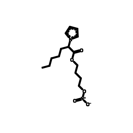 CCCCCC(C(=O)OCCCCO[N+](=O)[O-])n1cccc1